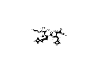 CC(C)(C)[C@H](N=C=S)C(=O)N1C[C@]2(C[C@H]1C(=O)NC(CC1CCC1)C(O)C(N)=O)CC21CCC1